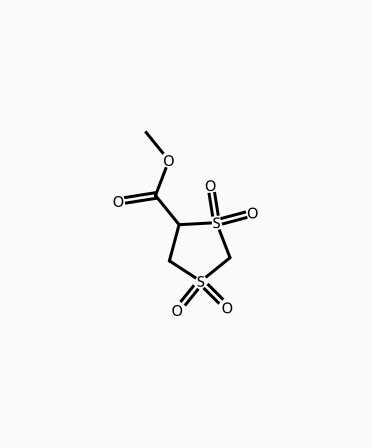 COC(=O)C1CS(=O)(=O)CS1(=O)=O